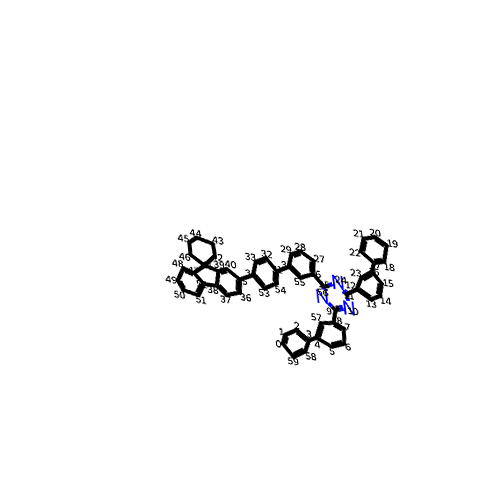 c1ccc(-c2cccc(-c3nc(-c4cccc(-c5ccccc5)c4)nc(-c4cccc(-c5ccc(-c6ccc7c(c6)C6(CCCCC6)c6ccccc6-7)cc5)c4)n3)c2)cc1